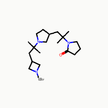 CC(C)(C)N1CC(CC(C)(C)N2CCC(CC(C)(C)N3CCCC3=O)C2)C1